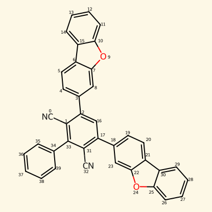 N#Cc1c(-c2ccc3c(c2)oc2ccccc23)cc(-c2ccc3c(c2)oc2ccccc23)c(C#N)c1-c1ccccc1